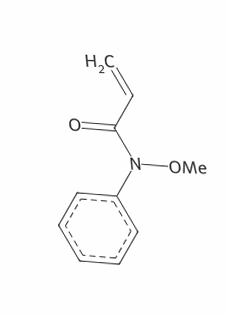 C=CC(=O)N(OC)c1ccccc1